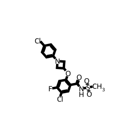 CS(=O)(=O)NC(=O)c1cc(Cl)c(F)cc1OC1CN(c2ccc(Cl)cc2)C1